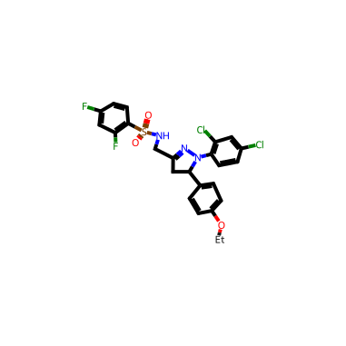 CCOc1ccc(C2CC(CNS(=O)(=O)c3ccc(F)cc3F)=NN2c2ccc(Cl)cc2Cl)cc1